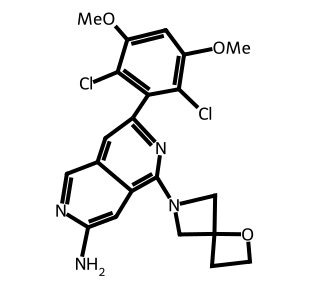 COc1cc(OC)c(Cl)c(-c2cc3cnc(N)cc3c(N3CC4(CCO4)C3)n2)c1Cl